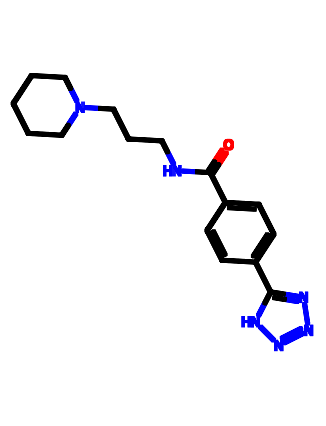 O=C(NCCCN1CCCCC1)c1ccc(-c2nnn[nH]2)cc1